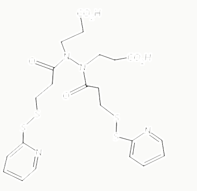 O=C(O)CCN(C(=O)CCSSc1ccccn1)N(CCC(=O)O)C(=O)CCSSc1ccccn1